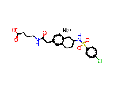 O=C([O-])CCCNC(=O)Cc1ccc2c(c1)CCC(NS(=O)(=O)c1ccc(Cl)cc1)C2.[Na+]